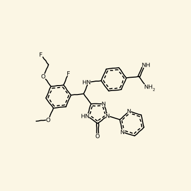 COc1cc(OCF)c(F)c(C(Nc2ccc(C(=N)N)cc2)c2nn(-c3ncccn3)c(=O)[nH]2)c1